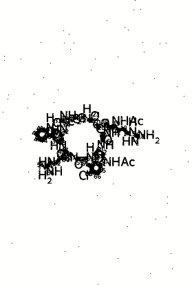 CC(=O)NCC[C@@H]1NC(=O)[C@@H](NC(=O)[C@H](CCCNC(=N)N)NC(C)=O)CCC(=O)NCCC[C@@H](C(N)=O)NC(=O)[C@H](Cc2c[nH]c3ccccc23)NC(=O)[C@H](CCCNC(=N)N)NC(=O)[C@@H](Cc2ccccc2Cl)NC1=O